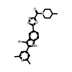 Cc1cc(-c2[nH]c3ccc(-c4nnc(C(=O)N5CCC(C)CC5)o4)cc3c2C(C)C)cc(C)n1